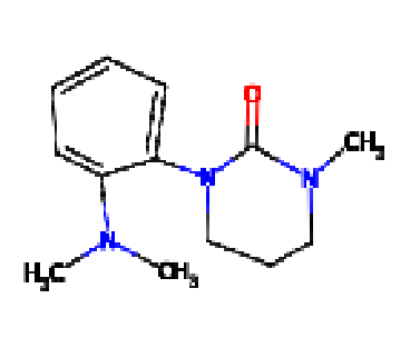 CN1CCCN(c2ccccc2N(C)C)C1=O